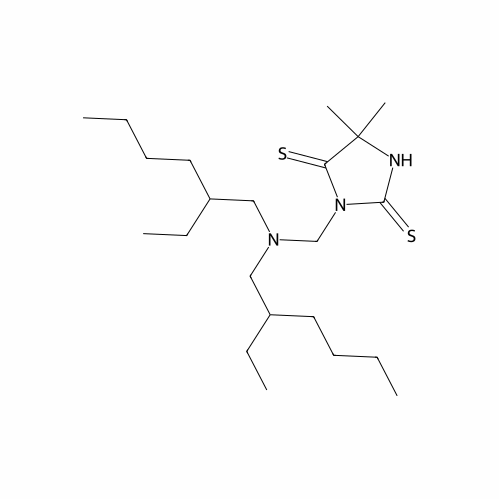 CCCCC(CC)CN(CC(CC)CCCC)CN1C(=S)NC(C)(C)C1=S